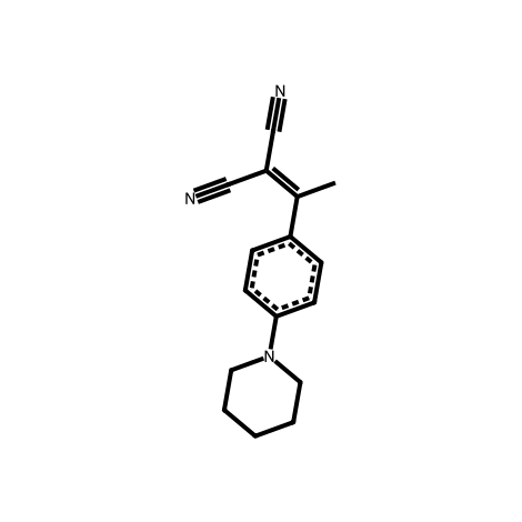 CC(=C(C#N)C#N)c1ccc(N2CCCCC2)cc1